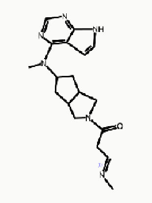 C/N=C/CC(=O)N1CC2CC(N(C)c3ncnc4[nH]ccc34)CC2C1